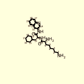 NCCCCCC[C@H](N)C(=O)N[C@@H](CC1CCCCC1)C(=O)Nc1cnc2ccccc2c1